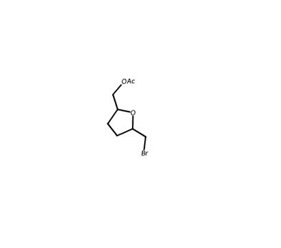 CC(=O)OCC1CCC(CBr)O1